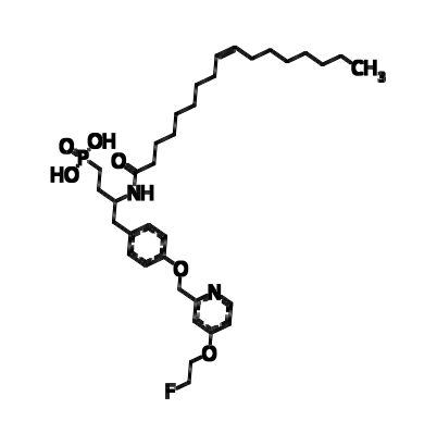 CCCCCCC/C=C\CCCCCCCC(=O)NC(CCP(=O)(O)O)Cc1ccc(OCc2cc(OCCF)ccn2)cc1